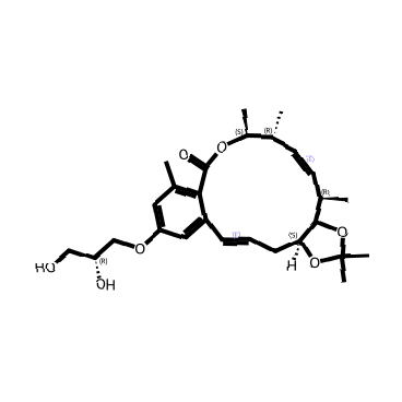 Cc1cc(OC[C@H](O)CO)cc2c1C(=O)O[C@@H](C)[C@H](C)/C=C\[C@@H](C)C1OC(C)(C)O[C@H]1C/C=C/2